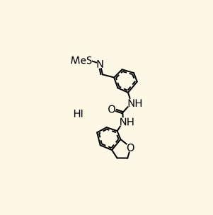 CSN=Cc1cccc(NC(=O)Nc2cccc3c2OCC3)c1.I